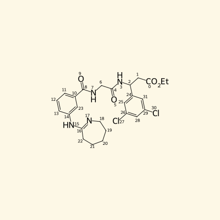 CCOC(=O)CC(NC(=O)CNC(=O)c1cccc(NC2=NCCCCC2)c1)c1cc(Cl)cc(Cl)c1